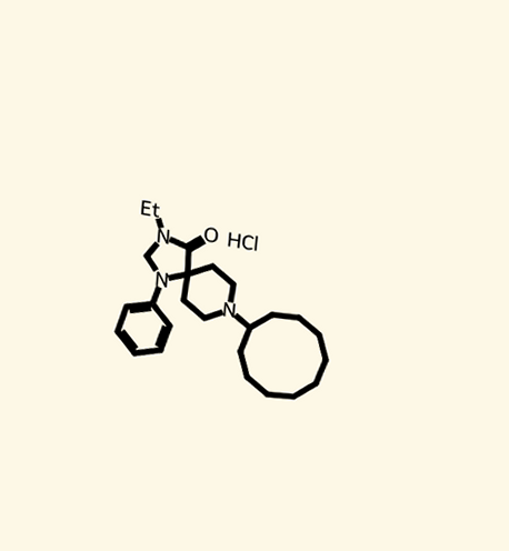 CCN1CN(c2ccccc2)C2(CCN(C3CCCCCCCCC3)CC2)C1=O.Cl